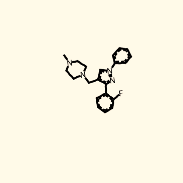 CN1CCN(Cc2cn(-c3ccccc3)nc2-c2ccccc2F)CC1